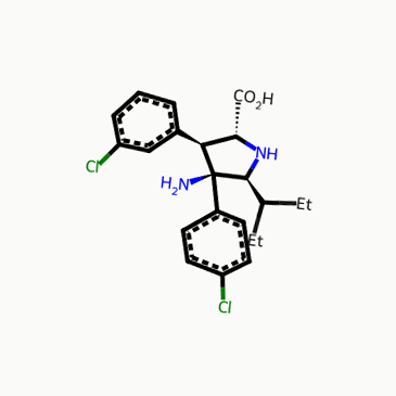 CCC(CC)[C@@H]1N[C@@H](C(=O)O)[C@H](c2cccc(Cl)c2)[C@@]1(N)c1ccc(Cl)cc1